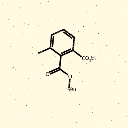 CCCCOC(=O)c1c(C)cccc1C(=O)OCC